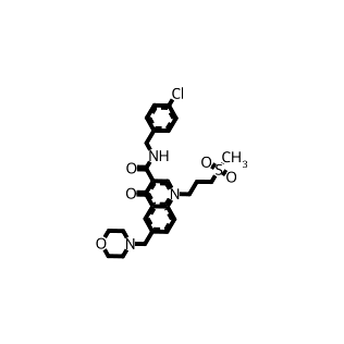 CS(=O)(=O)CCCn1cc(C(=O)NCc2ccc(Cl)cc2)c(=O)c2cc(CN3CCOCC3)ccc21